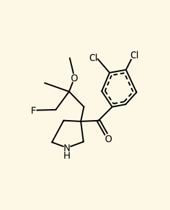 COC(C)(CF)CC1(C(=O)c2ccc(Cl)c(Cl)c2)CCNC1